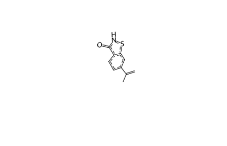 C=C(C)c1ccc2c(=O)[nH]sc2c1